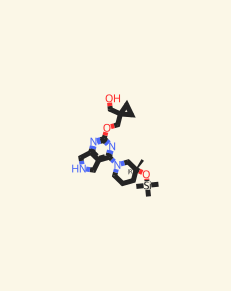 C[C@@]1(O[Si](C)(C)C)CCCN(c2nc(OCC3(CO)CC3)nc3c2CNC3)C1